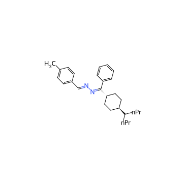 CCCC(CCC)[C@H]1CC[C@H](C(=NN=Cc2ccc(C)cc2)c2ccccc2)CC1